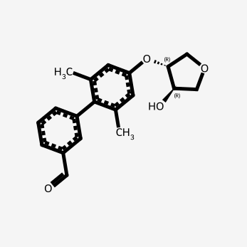 Cc1cc(O[C@@H]2COC[C@H]2O)cc(C)c1-c1cccc(C=O)c1